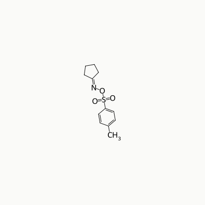 Cc1ccc(S(=O)(=O)ON=C2CCCC2)cc1